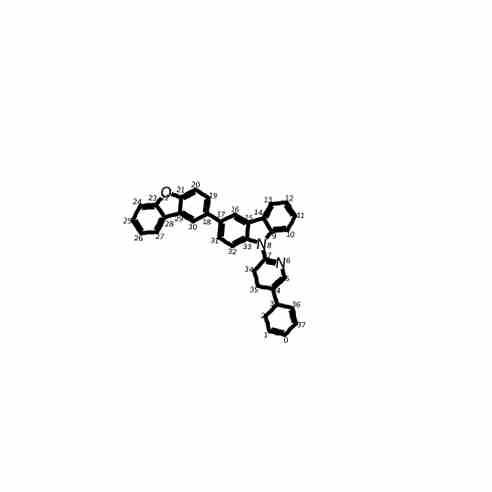 C1=CCC(C2=CN=C(n3c4ccccc4c4cc(-c5ccc6oc7ccccc7c6c5)ccc43)CC2)C=C1